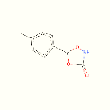 Cc1ccc(C2ONC(=O)O2)cc1